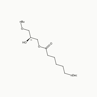 CCCCCCCCCCCCCCCC(=O)OC[C@@H](O)COCCCC